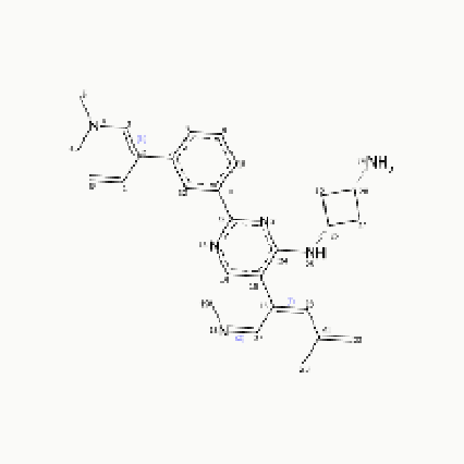 C=C/C(=C\N(C)C)c1cccc(-c2ncc(C(/C=N\C)=C/C(=C)C)c(N[C@H]3C[C@@H](N)C3)n2)c1